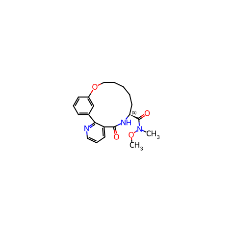 CON(C)C(=O)[C@@H]1CCCCCOc2cccc(c2)-c2ncccc2C(=O)N1